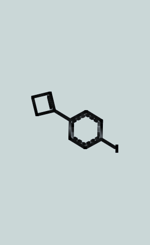 Ic1ccc(C2=CCC2)cc1